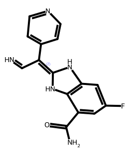 N=C/C(=C1/Nc2cc(F)cc(C(N)=O)c2N1)c1ccncc1